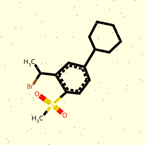 CC(Br)c1cc(C2CCCCC2)ccc1S(C)(=O)=O